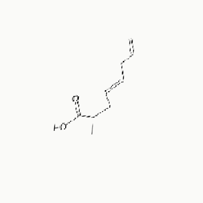 C=CCC=CCC(C)C(=O)O